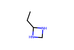 CCC1NCN1